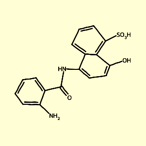 Nc1ccccc1C(=O)Nc1ccc(O)c2c(S(=O)(=O)O)cccc12